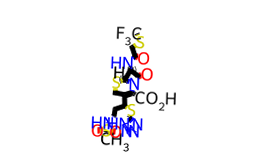 CS(=O)(=O)NCCC(Sc1nnn[nH]1)C1=C(C(=O)O)N2C(=O)[C@@H](NC(=O)CSC(F)(F)F)[C@@H]2SC1